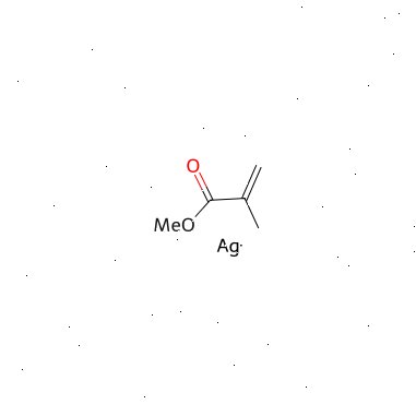 C=C(C)C(=O)OC.[Ag]